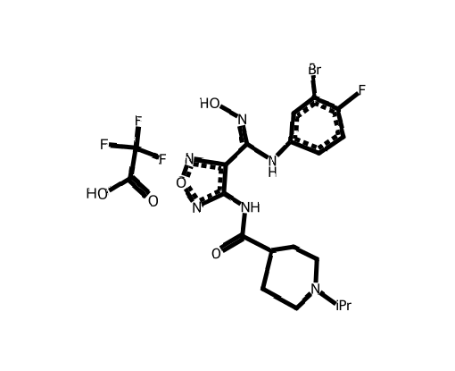 CC(C)N1CCC(C(=O)Nc2nonc2/C(=N\O)Nc2ccc(F)c(Br)c2)CC1.O=C(O)C(F)(F)F